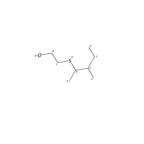 CCC(C)C(C)SCC[O]